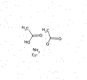 CC(=O)O.CC(=O)[O-].N.[Cs+]